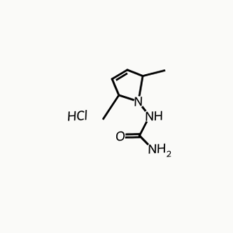 CC1C=CC(C)N1NC(N)=O.Cl